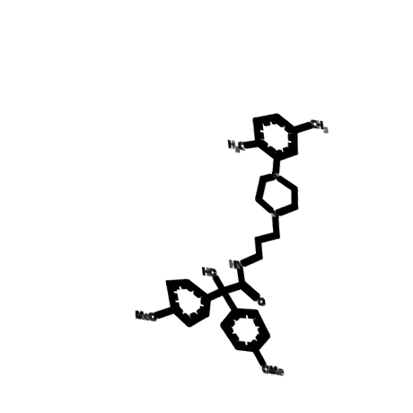 COc1ccc(C(O)(C(=O)NCCCN2CCN(c3cc(C)ccc3C)CC2)c2ccc(OC)cc2)cc1